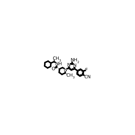 C[C@@H]1CC[C@H](C(=O)N[C@H](C)C2CCCCC2)CN1c1cc(-c2ccc(C#N)c(F)c2)nc(N)n1